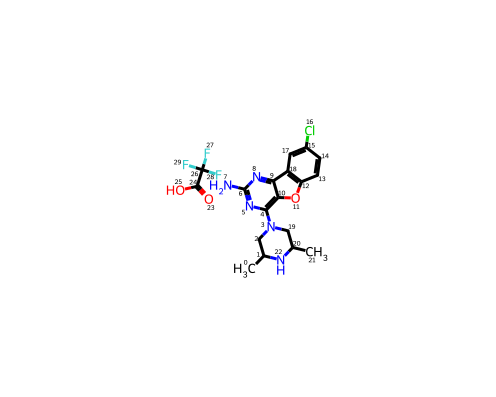 CC1CN(c2nc(N)nc3c2oc2ccc(Cl)cc23)CC(C)N1.O=C(O)C(F)(F)F